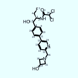 O=C(N[C@H](CF)[C@@H](O)c1ccc(-c2ccc(CN3CC(O)C3)nc2)cc1)C(Cl)Cl